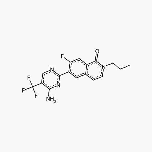 CCCn1ccc2cc(-c3ncc(C(F)(F)F)c(N)n3)c(F)cc2c1=O